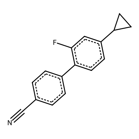 N#Cc1ccc(-c2ccc(C3CC3)cc2F)cc1